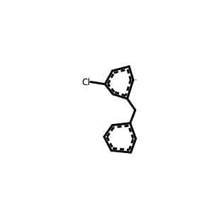 Clc1cc[c]c(Cc2ccccc2)c1